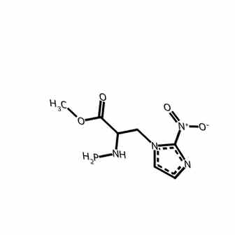 COC(=O)C(Cn1ccnc1[N+](=O)[O-])NP